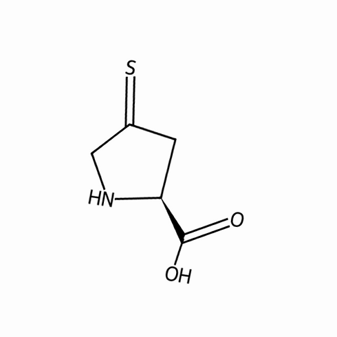 O=C(O)[C@@H]1CC(=S)CN1